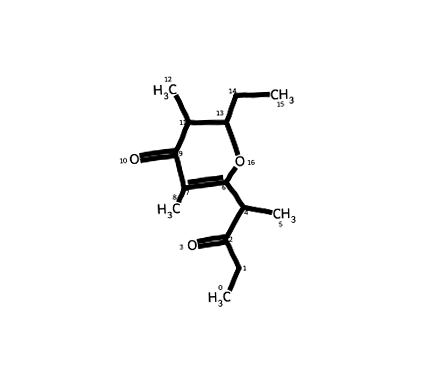 CCC(=O)C(C)C1=C(C)C(=O)C(C)C(CC)O1